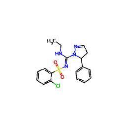 CCN/C(=N\S(=O)(=O)c1ccccc1Cl)N1N=CCC1c1ccccc1